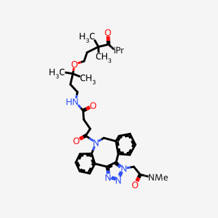 CNC(=O)Cn1nnc2c1-c1ccccc1CN(C(=O)CCC(=O)NCCC(C)(C)OCCC(C)(C)C(=O)C(C)C)c1ccccc1-2